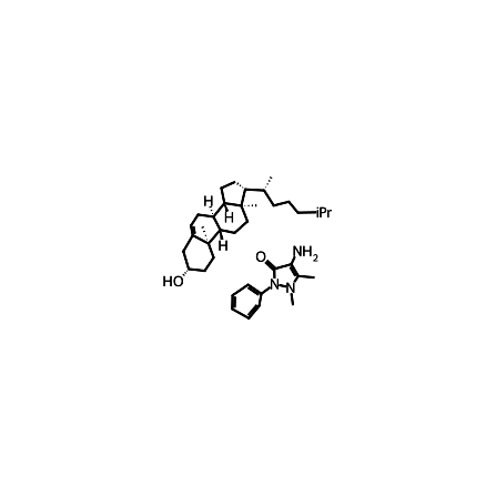 CC(C)CCC[C@@H](C)[C@H]1CC[C@H]2[C@@H]3CC=C4C[C@@H](O)CC[C@]4(C)[C@H]3CC[C@]12C.Cc1c(N)c(=O)n(-c2ccccc2)n1C